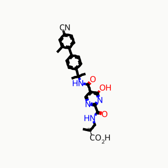 Cc1cc(C#N)ccc1-c1ccc(C(C)(C)NC(=O)c2cnc(C(=O)NC[C@@H](C)C(=O)O)nc2O)cc1